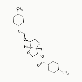 CC1CCC(OCO[C@H]2CO[C@H]3[C@@H]2OC[C@H]3OC(=O)[C@H]2CC[C@@H](C)CC2)CC1